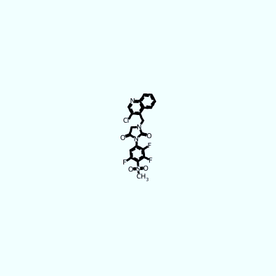 CS(=O)(=O)c1c(F)cc(N2C(=O)CN(Cc3c(Cl)cnc4ccccc34)C2=O)c(F)c1F